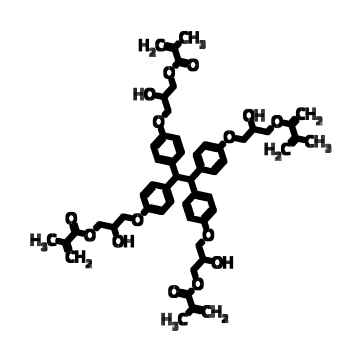 C=C(C)C(=C)OCC(O)COc1ccc(C(c2ccc(OCC(O)COC(=O)C(=C)C)cc2)C(c2ccc(OCC(O)COC(=O)C(=C)C)cc2)c2ccc(OCC(O)COC(=O)C(=C)C)cc2)cc1